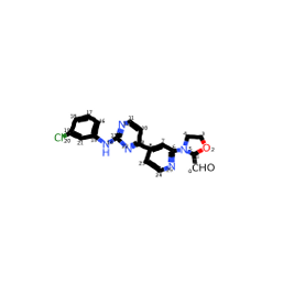 O=CC1OCCN1c1cc(-c2ccnc(Nc3cccc(Cl)c3)n2)ccn1